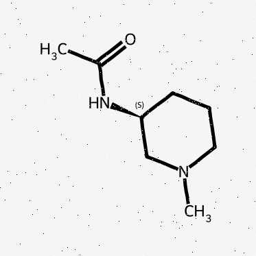 CC(=O)N[C@H]1CCCN(C)C1